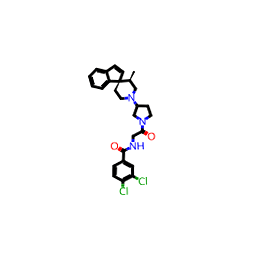 C[C@H]1CN(C2CCN(C(=O)CNC(=O)c3ccc(Cl)c(Cl)c3)C2)CC[C@@]12C=Cc1ccccc12